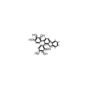 Oc1ccc(-c2ccc3c(c2-c2ccc(O)c(O)c2O)Cc2ccccc2-3)c(O)c1O